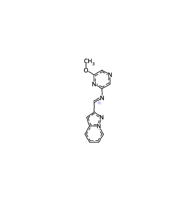 COc1cncc(/N=C/c2cc3ccccn3n2)n1